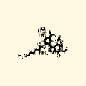 CCNC(=O)c1noc(-c2cc(C(C)C)c(O)cc2OC(=O)C(N)CCCCN)c1-c1noc(C)n1.Cl.Cl